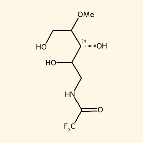 COC(CO)[C@H](O)C(O)CNC(=O)C(F)(F)F